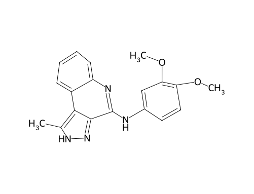 COc1ccc(Nc2nc3ccccc3c3c(C)[nH]nc23)cc1OC